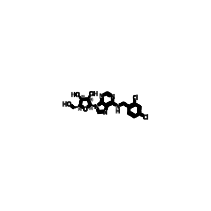 OC[C@H]1O[C@@H](n2cnc3c(NCc4ccc(Cl)cc4Cl)ncnc32)[C@H](O)[C@@H]1O